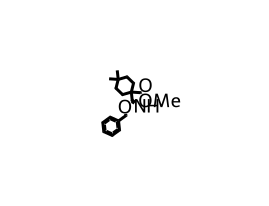 COC(=O)C1(C(=N)OCc2ccccc2)CCC(C)(C)CC1